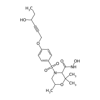 CCC(O)C#CCOc1ccc(S(=O)(=O)N2CC(C)OC(C)(C)C2C(=O)NO)cc1